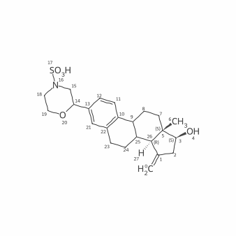 C=C1C[C@H](O)[C@@]2(C)CCC3c4ccc(C5CN(S(=O)(=O)O)CCO5)cc4CCC3[C@H]12